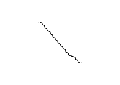 [CH2]CCCCC#CCCCCCCCCCCCCCCCCCCCCCC[CH2]